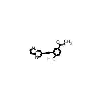 COC(=O)c1ccc(C)c(C#Cc2cnc3ccnn3c2)c1